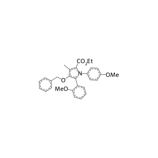 CCOC(=O)c1c(C)c(OCc2ccccc2)c(-c2ccccc2OC)n1-c1ccc(OC)cc1